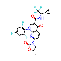 C[C@H]1CN(c2ccc3c(=O)c(C(=O)N[C@@H](C4CC4)C(F)(F)F)cn(-c4c(F)cc(F)cc4F)c3n2)C(=O)O1